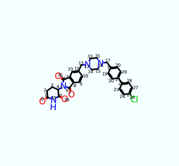 O=C1CCC(N2C(=O)c3ccc(CN4CCN(Cc5ccc(-c6ccc(Cl)cc6)cc5)CC4)cc3C2=O)C(=O)N1